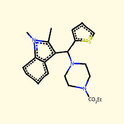 CCOC(=O)N1CCN(C(c2cccs2)c2c(C)n(C)c3ccccc23)CC1